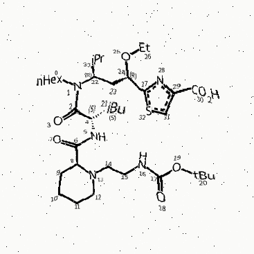 CCCCCCN(C(=O)[C@@H](NC(=O)C1CCCCN1CCNC(=O)OC(C)(C)C)[C@@H](C)CC)[C@H](C[C@@H](OCC)c1nc(C(=O)O)cs1)C(C)C